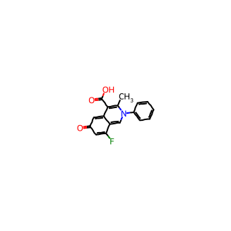 Cc1c(C(=O)O)c2cc(=O)cc(F)c-2cn1-c1ccccc1